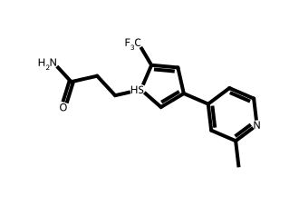 Cc1cc(C2=C[SH](CCC(N)=O)C(C(F)(F)F)=C2)ccn1